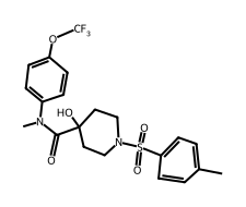 Cc1ccc(S(=O)(=O)N2CCC(O)(C(=O)N(C)c3ccc(OC(F)(F)F)cc3)CC2)cc1